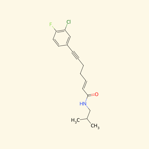 CC(C)CNC(=O)/C=C/CCC#Cc1ccc(F)c(Cl)c1